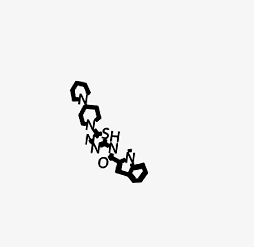 Cn1c(C(=O)Nc2nnc(N3CCC(N4CCCCC4)CC3)s2)cc2ccccc21